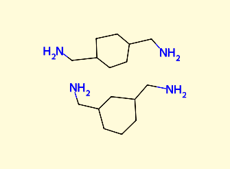 NCC1CCC(CN)CC1.NCC1CCCC(CN)C1